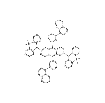 C[Si]1(C)c2ccccc2N(c2ccc3c(-c4cccc(-c5cccc6ccccc56)c4)c4cc(N5c6ccccc6[Si](C)(C)c6ccccc65)ccc4c(-c4cccc(-c5cccc6ccccc56)c4)c3c2)c2ccccc21